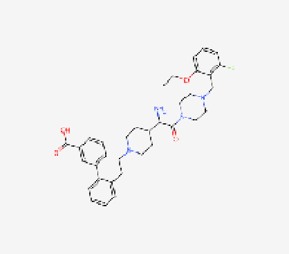 CCOc1cccc(F)c1CN1CCN(C(=O)[C@H](N)C2CCN(CCc3ccccc3-c3cccc(C(=O)O)c3)CC2)CC1